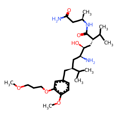 COCCCOc1cc(C[C@@H](C[C@H](N)[C@@H](O)C[C@H](C(=O)N[C@H](C)CC(N)=O)C(C)C)C(C)C)ccc1OC